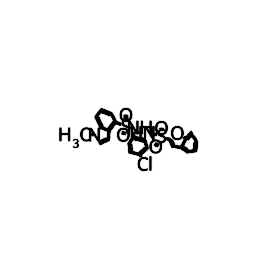 Cn1ccc2c(S(=O)(=O)Nc3ccc(Cl)cc3NS(=O)(=O)c3cc4ccccc4o3)cccc21